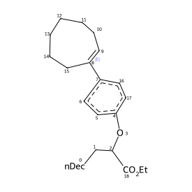 CCCCCCCCCCCC(Oc1ccc(/C2=C/CCCCCC2)cc1)C(=O)OCC